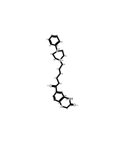 O=C1CSc2ccc(C(=O)CCCCCN3CCN(c4ccccc4)CC3)cc2N1